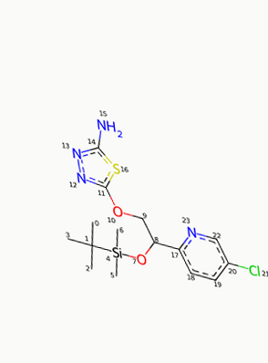 CC(C)(C)[Si](C)(C)OC(COc1nnc(N)s1)c1ccc(Cl)cn1